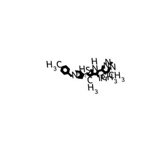 Cc1ccc(CN2C[C@@H]3CC2C[C@H]3c2sc3[nH]c(-c4cn5ncnc5c(C)c4C)c(C(C)C)c3c2C)cc1